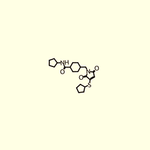 O=C(NC1CCCC1)C1CCC(CN2C(=O)C=C(SC3CCCC3)C2=O)CC1